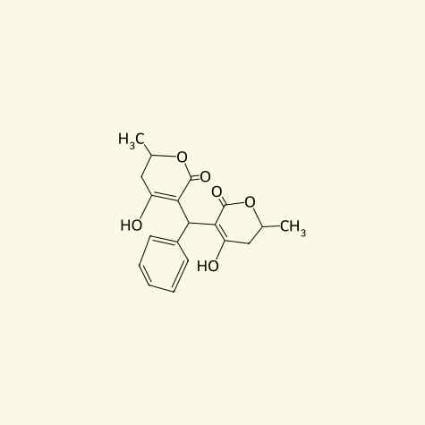 CC1CC(O)=C(C(C2=C(O)CC(C)OC2=O)c2ccccc2)C(=O)O1